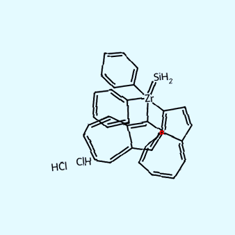 Cl.Cl.[SiH2]=[Zr]([c]1ccccc1)([c]1ccccc1)([c]1ccc2cccccc1-2)[c]1ccc2cccccc1-2